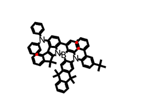 Cc1cc2c3c(c1)N(c1ccc(C(C)(C)C)cc1-c1ccccc1)c1cc4c(cc1B3n1c3c(c5c(N(c6ccccc6)c6ccccc6)ccc-2c51)-c1ccccc1C3(C)C)C(C)(C)c1ccccc1C4(C)C